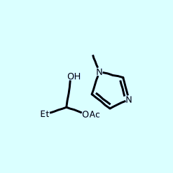 CCC(O)OC(C)=O.Cn1ccnc1